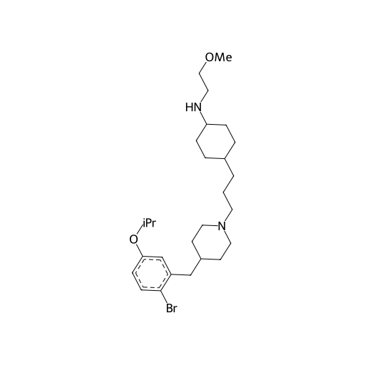 COCCNC1CCC(CCCN2CCC(Cc3cc(OC(C)C)ccc3Br)CC2)CC1